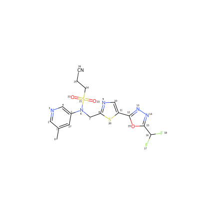 Cc1cncc(N(Cc2ncc(-c3nnc(C(F)F)o3)s2)S(=O)(=O)CCC#N)c1